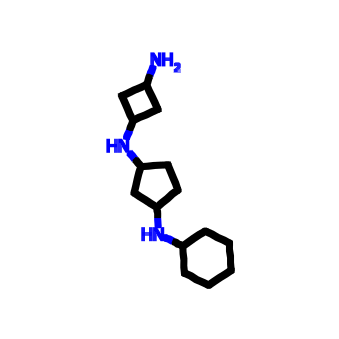 NC1CC(NC2CCC(NC3CCCCC3)C2)C1